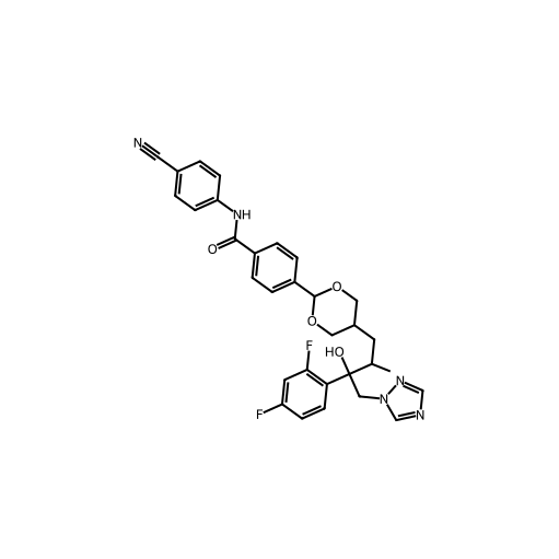 CC(CC1COC(c2ccc(C(=O)Nc3ccc(C#N)cc3)cc2)OC1)C(O)(Cn1cncn1)c1ccc(F)cc1F